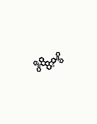 c1ccc2c(c1)c(B(N1CCCC1)N1CCCC1)cc1c3cccc4c3c(cc21)-c1ccc(B(N2CCCC2)N2CCCC2)cc1S4